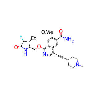 CC[C@@H]1[C@H](F)C(=O)N[C@@H]1COc1ncc(C#CC2CCN(C)CC2)c2cc(C(N)=O)c(OC)cc12